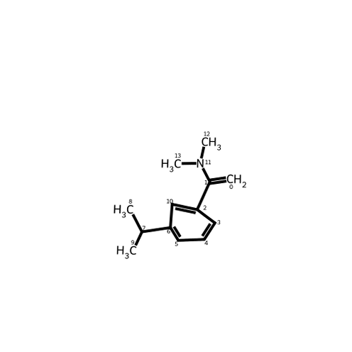 C=C(c1cccc(C(C)C)c1)N(C)C